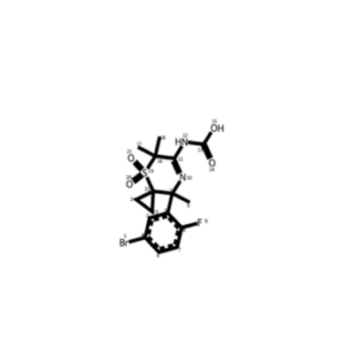 CC1(c2cc(Br)ccc2F)N=C(NC(=O)O)C(C)(C)S(=O)(=O)C12CC2